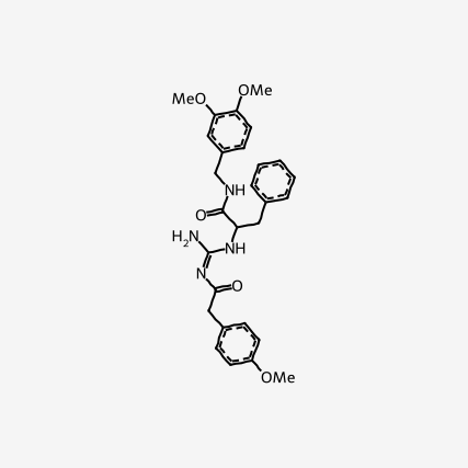 COc1ccc(CC(=O)N=C(N)NC(Cc2ccccc2)C(=O)NCc2ccc(OC)c(OC)c2)cc1